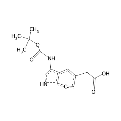 CC(C)(C)OC(=O)Nc1c[nH]c2ccc(CC(=O)O)cc12